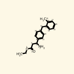 CCOC(=O)CC(N)c1ccc(Cc2ccccc2C)cc1